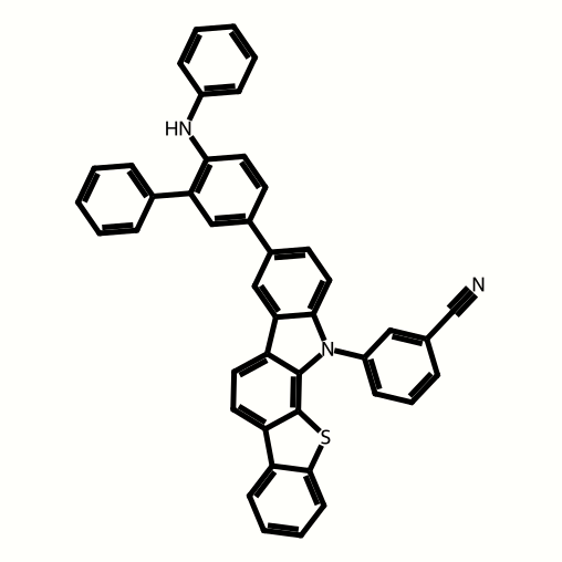 N#Cc1cccc(-n2c3ccc(-c4ccc(Nc5ccccc5)c(-c5ccccc5)c4)cc3c3ccc4c5ccccc5sc4c32)c1